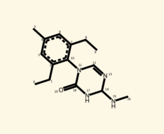 CCc1cc(C)cc(CC)c1N1C=NC(NC)NC1=O